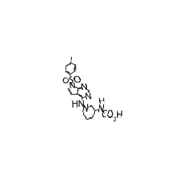 Cc1ccc(S(=O)(=O)n2ccc3c(NN4CCCC(NC(=O)O)C4)ncnc32)cc1